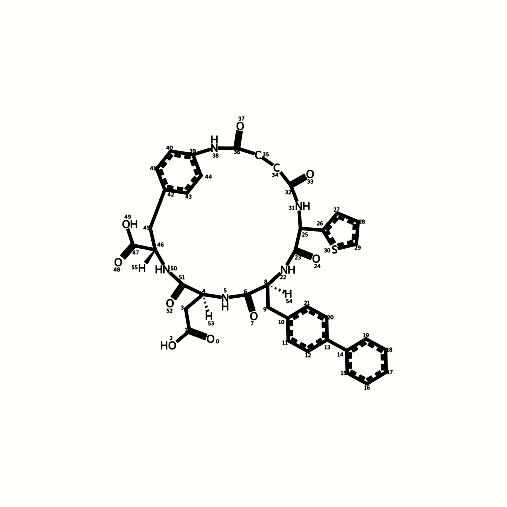 O=C(O)C[C@@H]1NC(=O)[C@H](Cc2ccc(-c3ccccc3)cc2)NC(=O)C(c2cccs2)NC(=O)CCC(=O)Nc2ccc(cc2)C[C@@H](C(=O)O)NC1=O